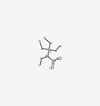 CCN([SiH](Cl)Cl)[Si](CC)(CC)CC